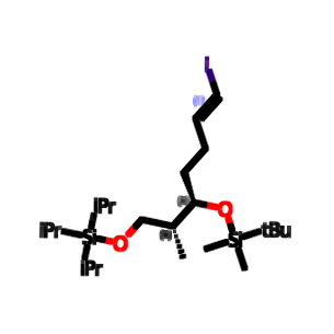 CC(C)[Si](OC[C@@H](C)[C@@H](CC/C=C/I)O[Si](C)(C)C(C)(C)C)(C(C)C)C(C)C